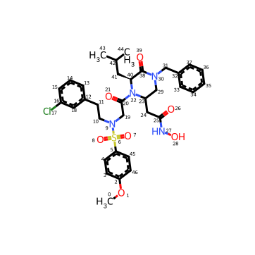 COc1ccc(S(=O)(=O)N(CCc2cccc(Cl)c2)CC(=O)N2C(CC(=O)NO)CN(Cc3ccccc3)C(=O)[C@@H]2CC(C)C)cc1